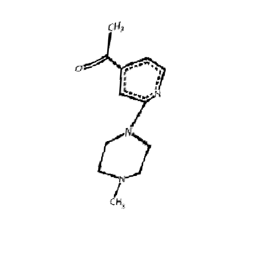 CC(=O)c1ccnc(N2CCN(C)CC2)c1